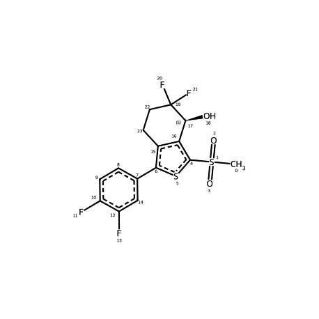 CS(=O)(=O)c1sc(-c2ccc(F)c(F)c2)c2c1[C@H](O)C(F)(F)CC2